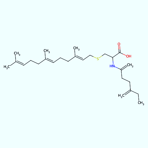 C=C(CC)CCC(=C)NC(CSC/C=C(\C)CC/C=C(\C)CCC=C(C)C)C(=O)O